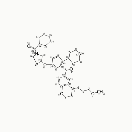 COCCCN1CCOc2ccc(COC3CNCCC3c3ccc(OC4CCN(C(=O)C5CCCCC5)C4)cc3)cc21